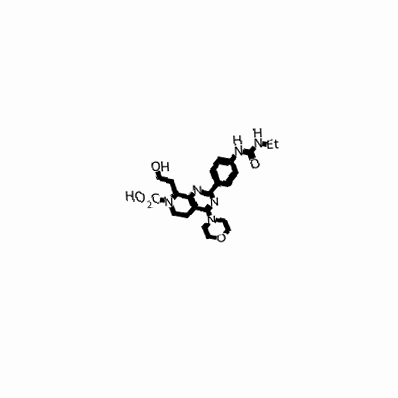 CCNC(=O)Nc1ccc(-c2nc3c(c(N4CCOCC4)n2)CCN(C(=O)O)C3CCO)cc1